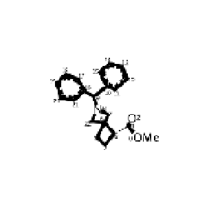 COC(=O)[C@@H]1CCC12CN(C(c1ccccc1)c1ccccc1)C2